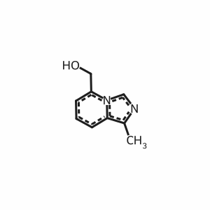 Cc1ncn2c(CO)cccc12